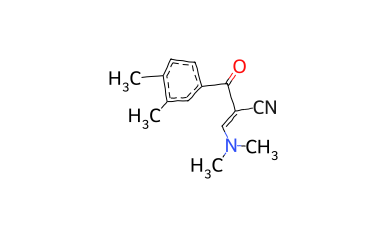 Cc1ccc(C(=O)C(C#N)=CN(C)C)cc1C